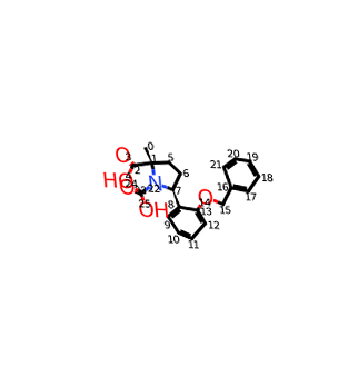 C[C@@]1(C(=O)O)CC[C@@H](c2ccccc2OCc2ccccc2)N1C(=O)O